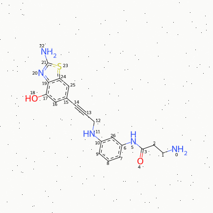 NCCC(=O)Nc1cccc(NCC#Cc2cc(O)c3nc(N)sc3c2)c1